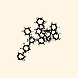 c1ccc(-c2ccc(-c3cc(-c4cccc5c4-c4ccc6c(sc7ccccc76)c4C54c5ccccc5C5(c6ccccc6-c6ccccc65)c5ccccc54)nc(-c4ccccc4)n3)cc2)cc1